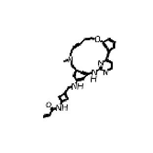 C=CC(=O)NC1CC(CNc2cc3cc(c2)Nc2nccc(n2)-c2cccc(c2)OCC/C=C/CN(C)C3)C1